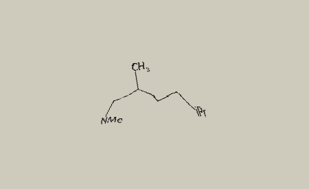 CNCC(C)CCC(C)C